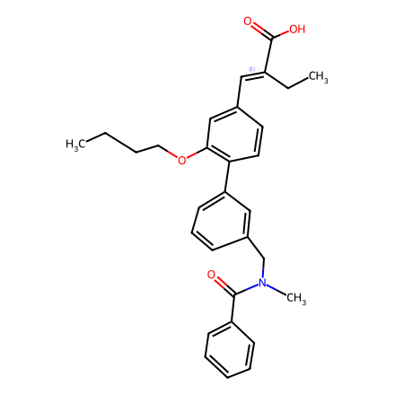 CCCCOc1cc(/C=C(\CC)C(=O)O)ccc1-c1cccc(CN(C)C(=O)c2ccccc2)c1